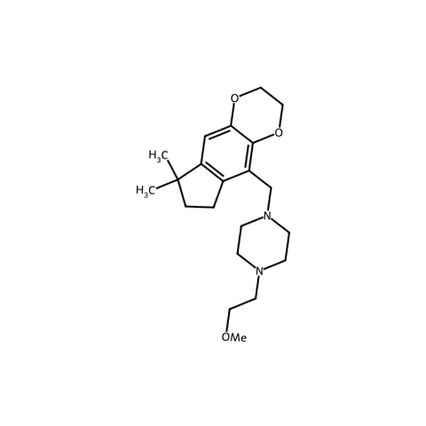 COCCN1CCN(Cc2c3c(cc4c2OCCO4)C(C)(C)CC3)CC1